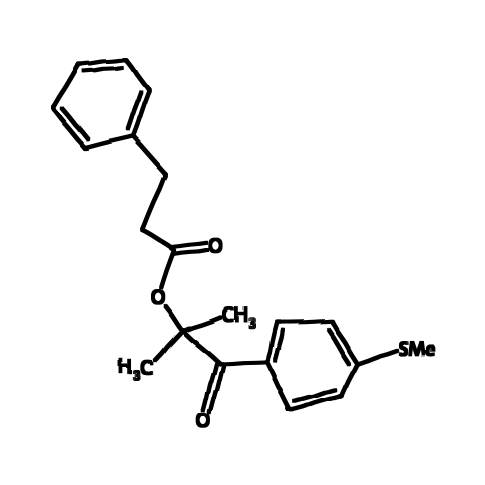 CSc1ccc(C(=O)C(C)(C)OC(=O)CCc2ccccc2)cc1